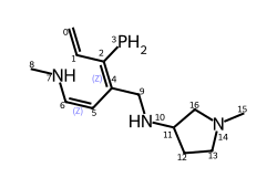 C=C/C(P)=C(\C=C/NC)CNC1CCN(C)C1